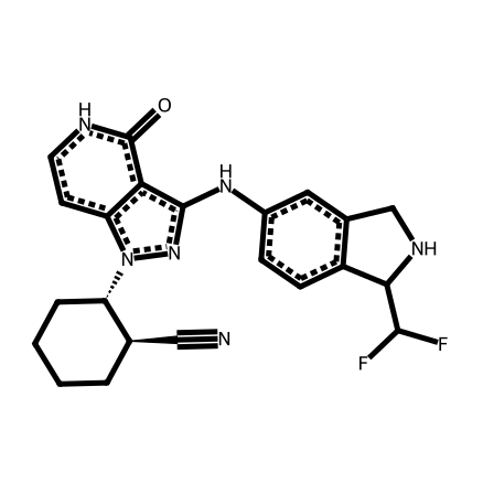 N#C[C@H]1CCCC[C@@H]1n1nc(Nc2ccc3c(c2)CNC3C(F)F)c2c(=O)[nH]ccc21